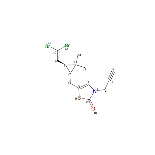 C#CCn1cc(C[C@@H]2[C@@H](C=C(Br)Br)C2(C)C)sc1=O